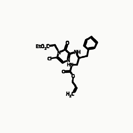 C=CCOC(=O)NCC(Cc1ccccc1)Nc1ncc(Cl)n(CC(=O)OCC)c1=O